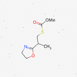 COC(=O)SCC(C)C1=NCCO1